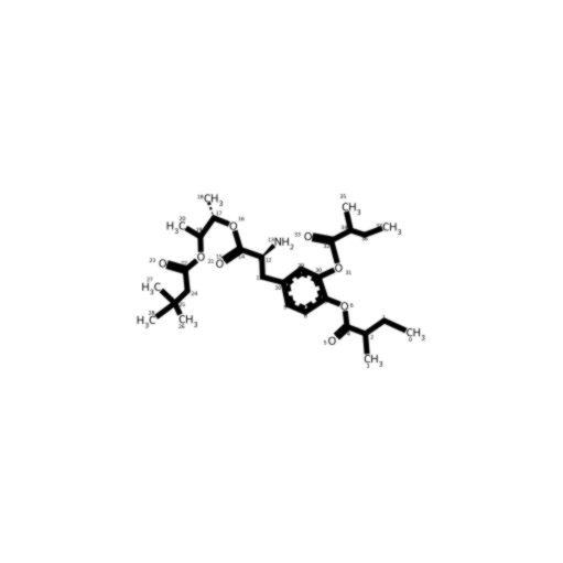 CCC(C)C(=O)Oc1ccc(C[C@H](N)C(=O)O[C@@H](C)C(C)OC(=O)CC(C)(C)C)cc1OC(=O)C(C)CC